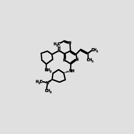 C/C=N\c1c(C=C(C)C)nc(N[C@H]2CC[C@H](N(C)C)CC2)nc1NC1CCCC(N)C1